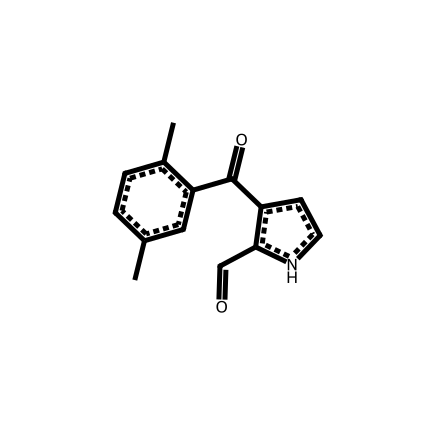 Cc1ccc(C)c(C(=O)c2cc[nH]c2C=O)c1